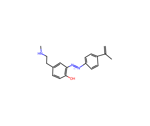 C=C(C)c1ccc(/N=N/c2cc(CCNC)ccc2O)cc1